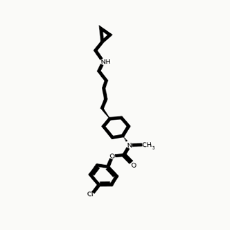 CN(C(=O)Oc1ccc(Cl)cc1)[C@H]1CC[C@H](CCCCCNCC2CC2)CC1